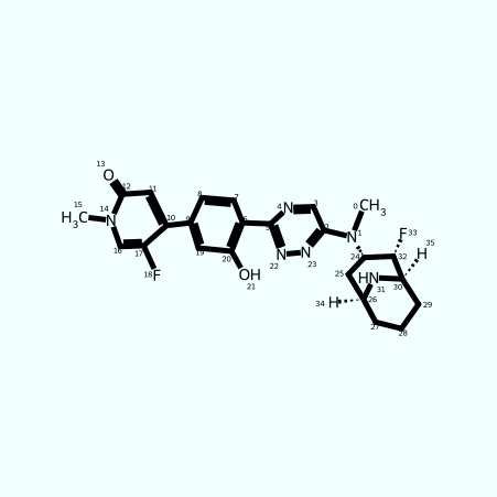 CN(c1cnc(-c2ccc(-c3cc(=O)n(C)cc3F)cc2O)nn1)[C@H]1C[C@@H]2CCC[C@@H](N2)[C@H]1F